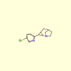 Brc1ccc(C2C3CC4CCN(C4)C32)nc1